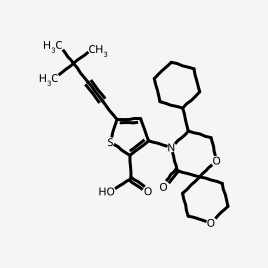 CC(C)(C)C#Cc1cc(N2C(=O)C3(CCOCC3)OCC2C2CCCCC2)c(C(=O)O)s1